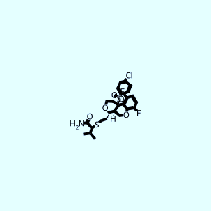 CC(C)C(SCC[C@@H]1OCC[C@@]2(S(=O)(=O)c3ccc(Cl)cc3)c3c(F)ccc(F)c3OC[C@@H]12)C(N)=O